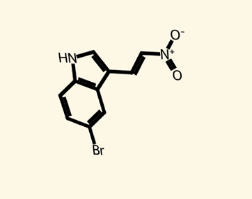 O=[N+]([O-])/C=C/c1c[nH]c2ccc(Br)cc12